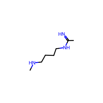 CNCCCCNC(C)=N